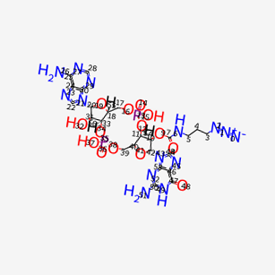 [N-]=[N+]=NCCCNC(=O)O[C@@H]1[C@@H]2OP(=O)(O)OC[C@H]3O[C@@H](n4cnc5c(N)ncnc54)[C@H](O)[C@@H]3OP(=O)(O)OCC2O[C@H]1n1cnc2c(=O)[nH]c(N)nc21